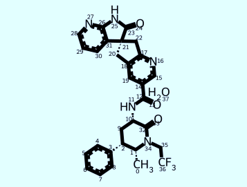 C[C@@H]1[C@H](c2ccccc2)C[C@H](NC(=O)c2cnc3c(c2)C[C@@]2(C3)C(=O)Nc3ncccc32)C(=O)N1CC(F)(F)F.O